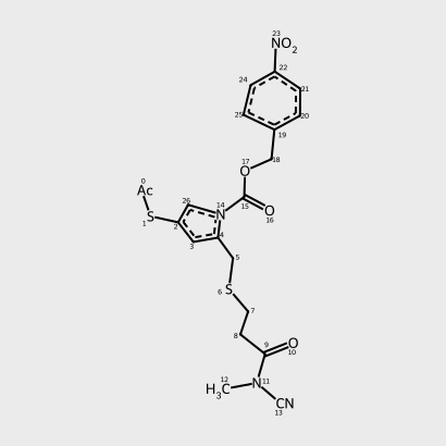 CC(=O)Sc1cc(CSCCC(=O)N(C)C#N)n(C(=O)OCc2ccc([N+](=O)[O-])cc2)c1